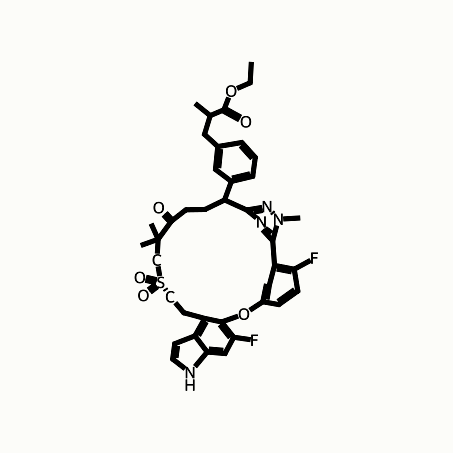 CCOC(=O)C(C)Cc1cccc(C2CCC(=O)C(C)(C)CS(=O)(=O)CCc3c(c(F)cc4[nH]ccc34)Oc3ccc(F)c(c3)-c3nc2nn3C)c1